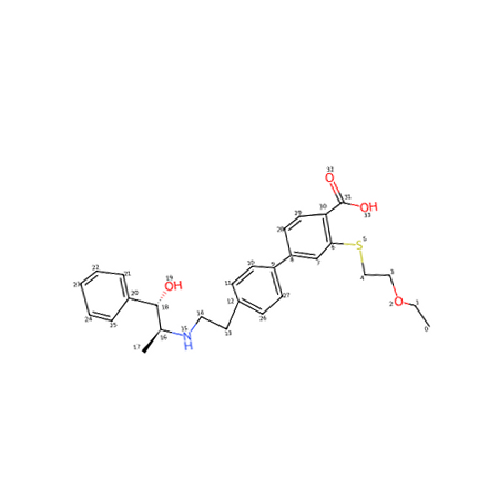 CCOCCSc1cc(-c2ccc(CCN[C@@H](C)[C@@H](O)c3ccccc3)cc2)ccc1C(=O)O